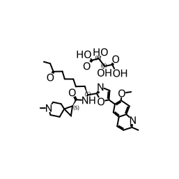 CCC(=O)CCCCC[C@H](NC(=O)[C@H]1CC12CCN(C)CC2)c1ncc(-c2cc3ccc(C)nc3cc2OC)o1.O=C(O)[C@H](O)[C@@H](O)C(=O)O